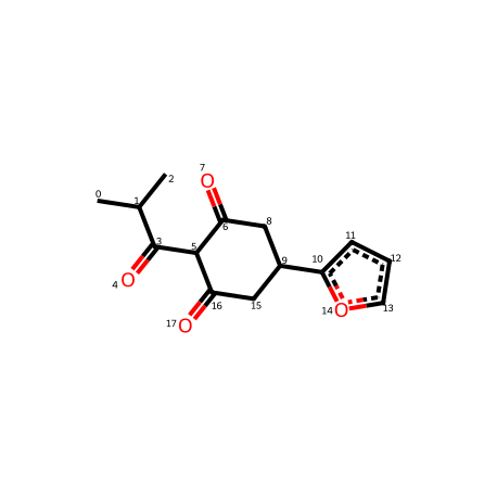 CC(C)C(=O)C1C(=O)CC(c2ccco2)CC1=O